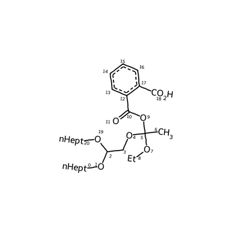 CCCCCCCOC(COC(C)(OCC)OC(=O)c1ccccc1C(=O)O)OCCCCCCC